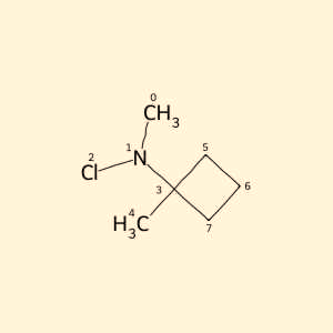 CN(Cl)C1(C)CCC1